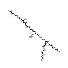 CCCCCCCCCCOC(=O)CCCCCCN(CCO)CCCCCCCC(OCCCCCCCC)OCCCCCCCC